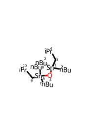 CCC[CH2][Sn]([CH2]CCC)([CH2]C(C)C)[O][Sn]([CH2]CCC)([CH2]CCC)[CH2]C(C)C